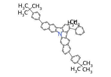 Cc1ccccc1-c1c(C)cc2c3cc4cc(-c5ccc(C(C)(C)C)cc5)ccc4cc3n3c4cc5ccc(-c6ccc(C(C)(C)C)cc6)cc5cc4c1c23